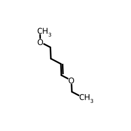 CCOC=CCCOC